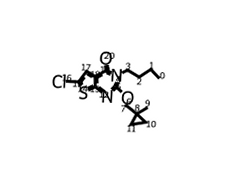 CCCCn1c(OCC2(C)CC2)nc2sc(Cl)cc2c1=O